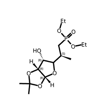 CCOP(=O)(C[C@@H](C)C1O[C@@H]2OC(C)(C)O[C@@H]2[C@@H]1O)OCC